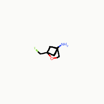 NC12COC(CF)(C1)C2